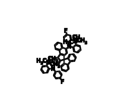 C[Si](C)(C)c1ccccc1N(c1ccc(F)cc1)c1ccc2c(c1)C1(c3ccccc3-c3ccccc31)c1cc(N(c3ccc(F)cc3)c3ccccc3[Si](C)(C)C)c3ccccc3c1-2